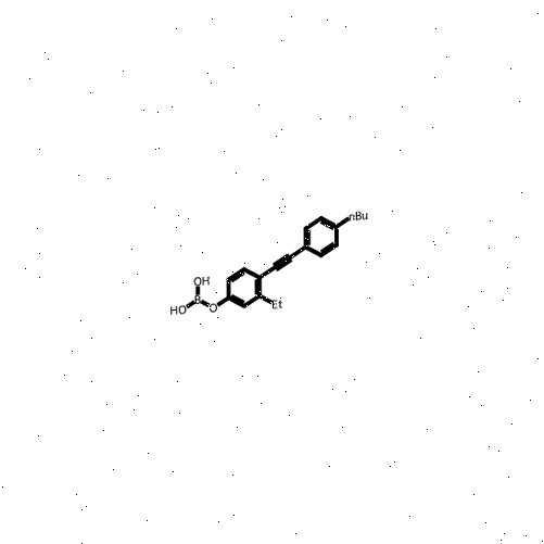 CCCCc1ccc(C#Cc2ccc(OB(O)O)cc2CC)cc1